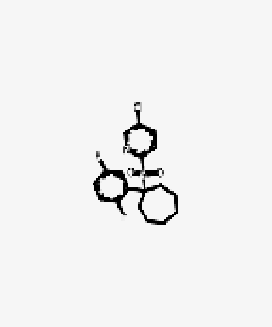 O=S(=O)(c1ccc(Cl)cn1)C1(c2cc(F)ccc2F)CCCCCC1